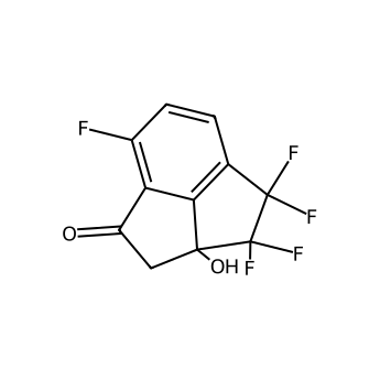 O=C1CC2(O)c3c(ccc(F)c31)C(F)(F)C2(F)F